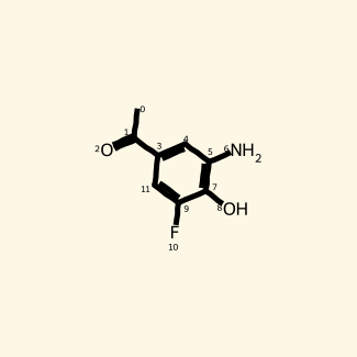 CC(=O)c1cc(N)c(O)c(F)c1